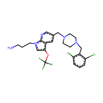 NCCCn1cc(OC(F)(F)F)c2cc(CN3CCN(Cc4c(Cl)cccc4Cl)CC3)cnc21